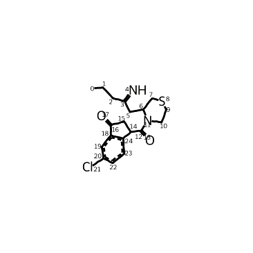 CCCC(=N)CC1CSCCN1C(=O)C1CC(=O)c2cc(Cl)ccc21